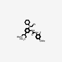 COCC(CC(=O)O)c1ccc(N(CC(C)C)C2CCCCC2)c(NC(=O)Nc2ccc(OC)cc2F)c1